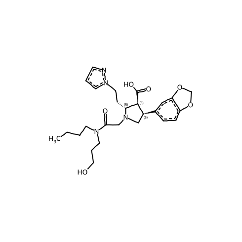 CCCCN(CCCO)C(=O)CN1C[C@H](c2ccc3c(c2)OCO3)[C@H](C(=O)O)[C@H]1CCn1cccn1